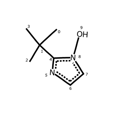 CC(C)(C)c1nccn1O